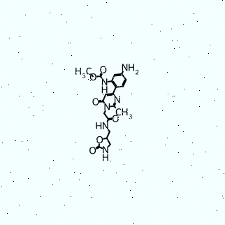 COC(=O)Nc1cc(N)ccc1-c1cc(=O)n(CC(=O)NCC2CNC(=O)O2)c(C)n1